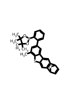 Cc1cc(-c2ccccc2B2OC(C)(C)C(C)(C)O2)cc2c1sc1cc3c(cc12)C1C=CC3O1